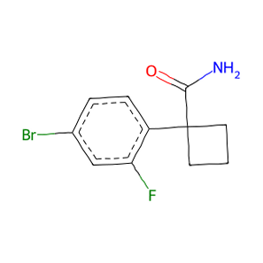 NC(=O)C1(c2ccc(Br)cc2F)CCC1